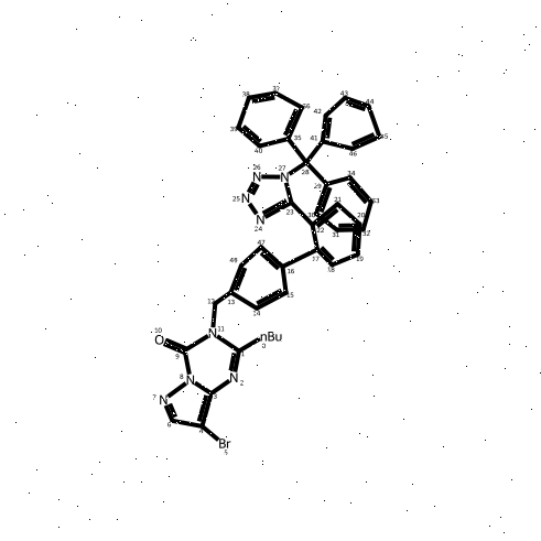 CCCCc1nc2c(Br)cnn2c(=O)n1Cc1ccc(-c2ccccc2-c2nnnn2C(c2ccccc2)(c2ccccc2)c2ccccc2)cc1